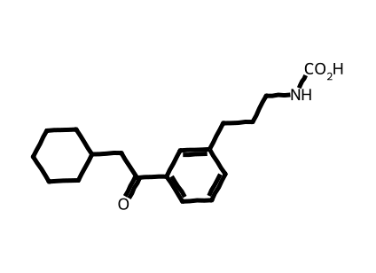 O=C(O)NCCCc1cccc(C(=O)CC2CCCCC2)c1